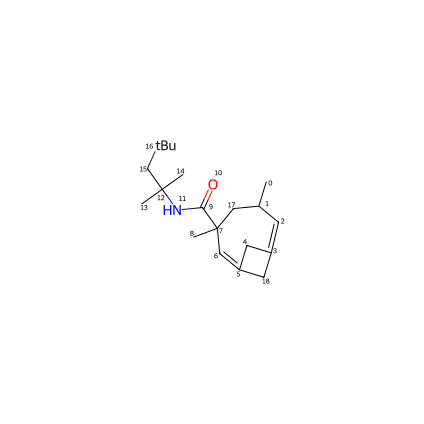 CC1C=C2CC(=CC(C)(C(=O)NC(C)(C)CC(C)(C)C)C1)C2